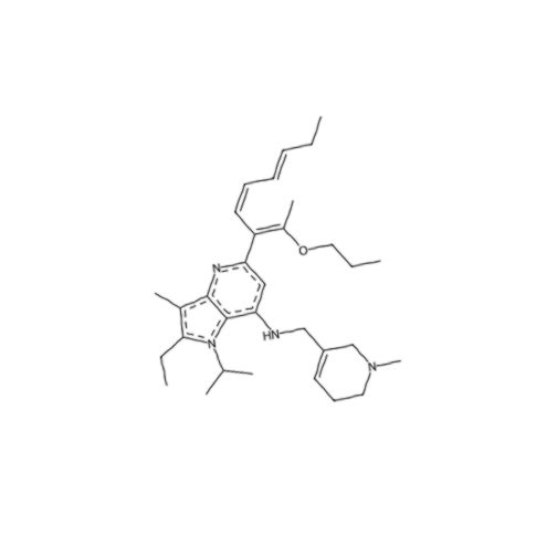 CC/C=C/C=C\C(=C(/C)OCCC)c1cc(NCC2=CCCN(C)C2)c2c(n1)c(C)c(CC)n2C(C)C